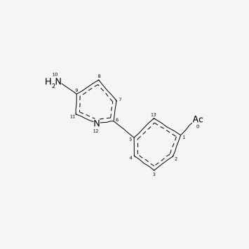 CC(=O)c1cccc(-c2ccc(N)cn2)c1